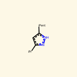 CCCC(C)c1cc(C(C)C)n[nH]1